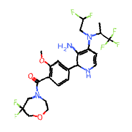 COc1cc(C2NC=CC(N(CC(F)F)C(C)C(F)(F)F)=C2N)ccc1C(=O)N1CCOCC(F)(F)C1